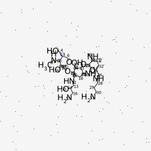 CN[C@H]1/C(=C\O)CO[C@H](O[C@H]2[C@H](NCC(O)CN)C[C@H](N)C(O[C@H]3OC(CNCCCN)=CC[C@H]3N)[C@@H]2O)[C@@H]1O